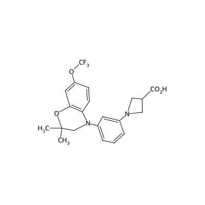 CC1(C)CN(c2cccc(N3CC(C(=O)O)C3)c2)c2ccc(OC(F)(F)F)cc2O1